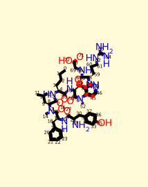 CCCC[C@H](NC(=O)[C@H](CC(C)C)N(C)C(=O)[C@H](Cc1ccccc1)NC(=O)[C@@H](N)Cc1ccc(O)cc1)C(=O)N[C@@H](Cc1cccnc1)C(=O)N(C)[C@@H](C)C(=O)N[C@@H](CCCNC(=N)N)C(=O)NCC(=O)O